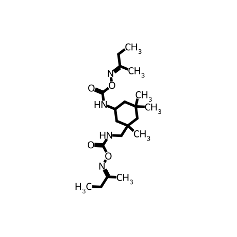 CC/C(C)=N/OC(=O)NCC1(C)CC(NC(=O)O/N=C(\C)CC)CC(C)(C)C1